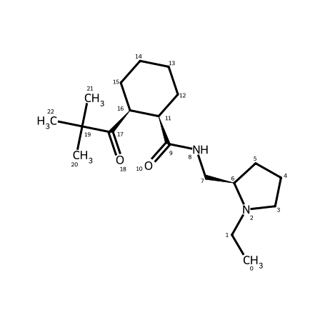 CCN1CCC[C@@H]1CNC(=O)[C@@H]1CCCC[C@@H]1C(=O)C(C)(C)C